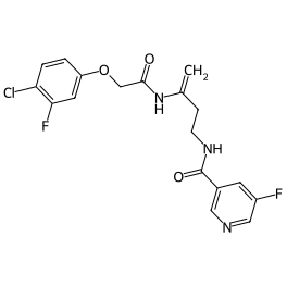 C=C(CCNC(=O)c1cncc(F)c1)NC(=O)COc1ccc(Cl)c(F)c1